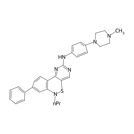 CCCN1Sc2cnc(Nc3ccc(N4CCN(C)CC4)cc3)nc2-c2ccc(-c3ccccc3)cc21